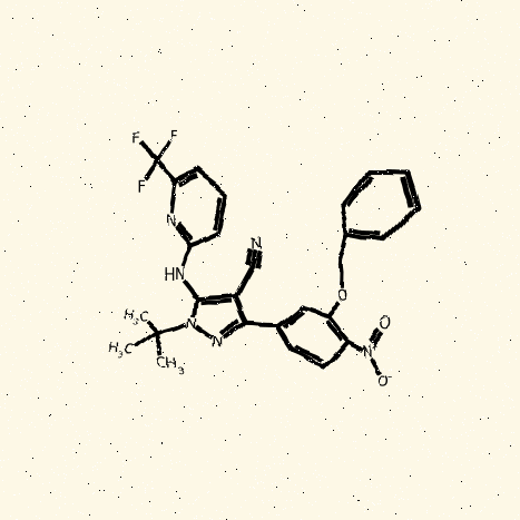 CC(C)(C)n1nc(-c2ccc([N+](=O)[O-])c(OCc3ccccc3)c2)c(C#N)c1Nc1cccc(C(F)(F)F)n1